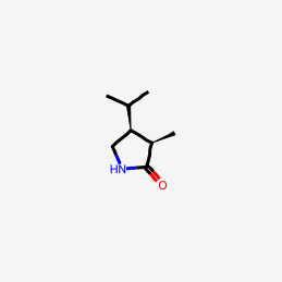 CC(C)[C@@H]1CNC(=O)[C@@H]1C